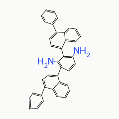 Nc1ccc(-c2ccc(-c3ccccc3)c3ccccc23)c(N)c1-c1ccc(-c2ccccc2)c2ccccc12